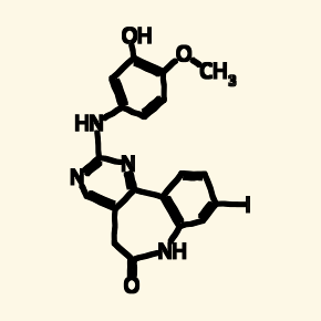 COc1ccc(Nc2ncc3c(n2)-c2ccc(I)cc2NC(=O)C3)cc1O